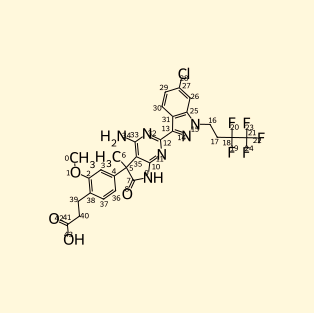 COc1cc(C2(C)C(=O)Nc3nc(-c4nn(CCC(F)(F)C(F)(F)F)c5cc(Cl)ccc45)nc(N)c32)ccc1CCC(=O)O